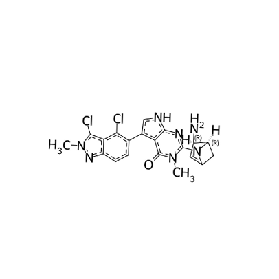 Cn1nc2ccc(-c3c[nH]c4nc(N5C6=C[C@@H](N)[C@H]5C6)n(C)c(=O)c34)c(Cl)c2c1Cl